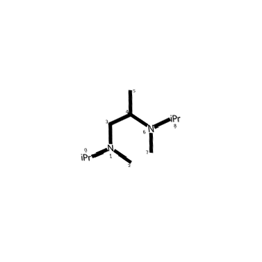 CC(C)N(C)CC(C)N(C)C(C)C